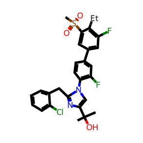 CCc1c(F)cc(-c2ccc(-n3cc(C(C)(C)O)nc3Cc3ccccc3Cl)c(F)c2)cc1S(C)(=O)=O